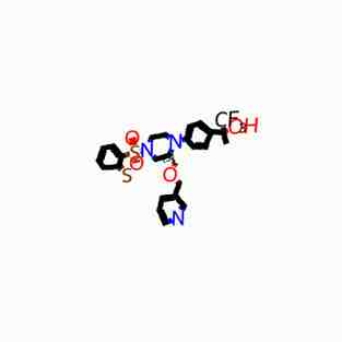 CC(O)(c1ccc(N2CCN(S(=O)(=O)C3=CC=CCC3=S)C[C@H]2COCc2cccnc2)cc1)C(F)(F)F